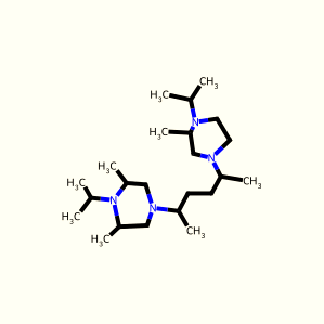 CC(CCC(C)N1CC(C)N(C(C)C)C(C)C1)N1CCN(C(C)C)C(C)C1